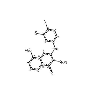 CCOC(=O)c1c(Nc2ccc(F)c(Cl)c2)nc2c(OC)cccn2c1=O